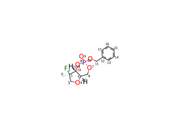 C[C@@]1(F)[CH]O[C@@H]2CO[P@@](=O)(OCc3ccccc3)O[C@H]21